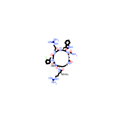 CCCCN1C(=O)N[C@H](Cc2ccccc2F)C(=O)N[C@@H](CCCNC(=N)N)C(=O)N[C@@H](Cc2c[nH]c3ccccc23)C(=O)N[C@H](C(N)=O)CCC(=O)NCCC[C@H](NC(=O)[C@H](CCCNC(=N)N)NC(C)=O)C1=O